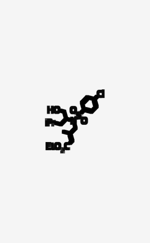 CCOC(=O)/C=C(\C)CN(C(CO)CC(C)C)S(=O)(=O)c1ccc(Cl)cc1